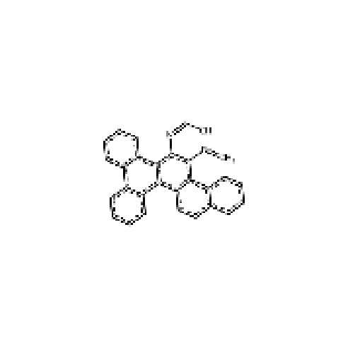 C=Nc1c(/N=C\C)c2c3ccccc3c3ccccc3c2c2ccc3ccccc3c12